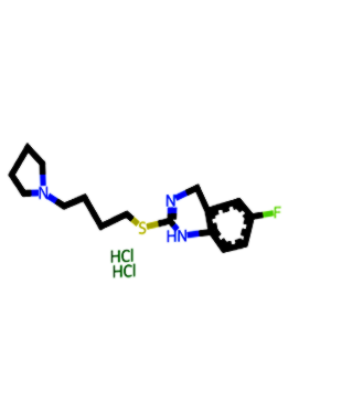 Cl.Cl.Fc1ccc2c(c1)CN=C(SCCCCN1CCCC1)N2